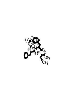 C#CCC(NC(=O)C(Cc1ccccc1)NC(=O)C(Cc1ccccc1)NC(=O)OC(C)(C)C)C(=O)O